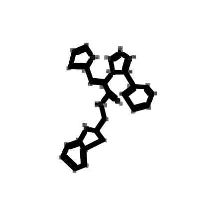 O=C(NCC1Cc2ccccc2O1)C(=Cc1ccco1)n1nnnc1-c1ccccc1